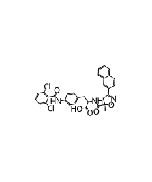 C[C@@]1(C(=O)NC(Cc2ccc(NC(=O)c3c(Cl)cccc3Cl)cc2)C(=O)O)CC(c2ccc3ccccc3c2)=NO1